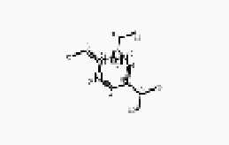 C\C=C(/N=C\C(=C/N)C(C)C)OCC